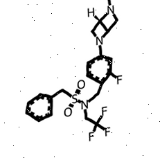 CC(=O)N1CC2[C@@H]1CN2c1ccc(CN(CC(F)(F)F)S(=O)(=O)Cc2ccccc2)c(F)c1